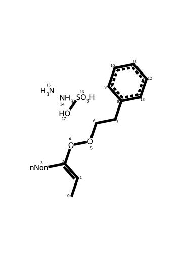 CC=C(CCCCCCCCC)OOCCc1ccccc1.N.N.O=S(=O)(O)O